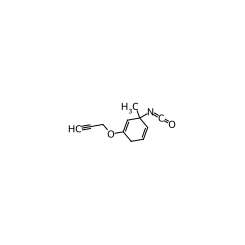 C#CCOC1=CC(C)(N=C=O)C=CC1